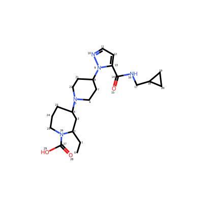 CCC1CC(N2CCC(n3nccc3C(=O)NCC3CC3)CC2)CCCN1C(=O)O